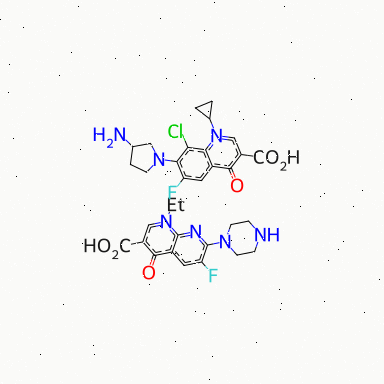 CCn1cc(C(=O)O)c(=O)c2cc(F)c(N3CCNCC3)nc21.NC1CCN(c2c(F)cc3c(=O)c(C(=O)O)cn(C4CC4)c3c2Cl)C1